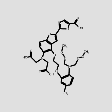 COOCN(COOC)c1ccc(C)cc1OCCOc1c(N(CC(=O)O)CC(=O)O)ccc2oc(-c3ncc(C(=O)O)o3)cc12